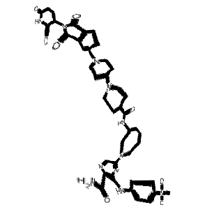 CS(=O)(=O)c1ccc(Nc2nc(N3CCCC(NC(=O)C4CCN(C5CCN(c6ccc7c(c6)C(=O)N(C6CCC(=O)NC6=O)C7=O)CC5)CC4)C3)cnc2C(N)=O)cc1